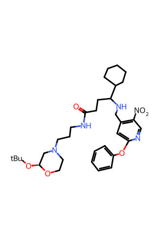 CC(C)(C)O[C@H]1CN(CCCNC(=O)CCC(NCc2cc(Oc3ccccc3)ncc2[N+](=O)[O-])C2CCCCC2)CCO1